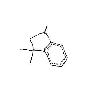 C[C]1CC(C)(C)c2ccccc21